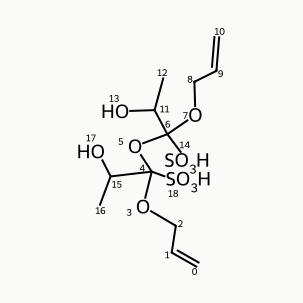 C=CCOC(OC(OCC=C)(C(C)O)S(=O)(=O)O)(C(C)O)S(=O)(=O)O